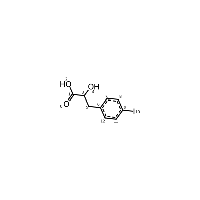 O=C(O)C(O)Cc1ccc(I)cc1